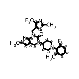 Cc1nc(C(F)(F)F)c(CN2C(=O)N(C3CCN(c4c(C)cccc4F)CC3)Cc3cn(C)nc32)s1